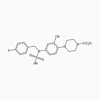 CCCS(=O)(=O)N(Cc1ccc(F)cc1)c1ccc(N2CCN(C(=O)OCC)CC2)c(C#N)c1